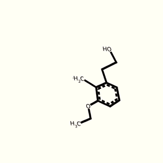 [CH2]c1c(CCO)cccc1OCC